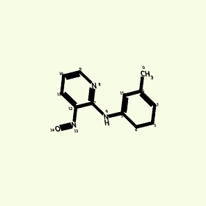 CC1=CCCC(Nc2ncccc2N=O)=C1